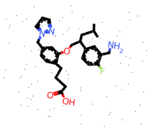 CC(C)CC(COc1cc(Cn2cccn2)ccc1CCCC(=O)O)c1ccc(F)c(CN)c1